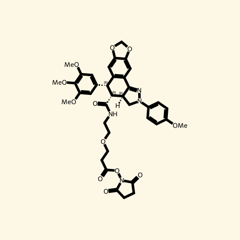 COc1ccc(N2C[C@@H]3C(=N2)c2cc4c(cc2[C@@H](c2cc(OC)c(OC)c(OC)c2)[C@H]3C(=O)NCCOCCC(=O)ON2C(=O)CCC2=O)OCO4)cc1